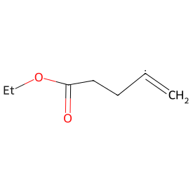 C=[C]CCC(=O)OCC